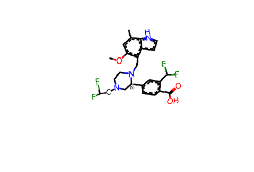 COc1cc(C)c2[nH]ccc2c1CN1CCN(CC(F)F)C[C@@H]1c1ccc(C(=O)O)c(C(F)F)c1